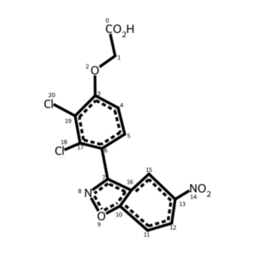 O=C(O)COc1ccc(-c2noc3ccc([N+](=O)[O-])cc23)c(Cl)c1Cl